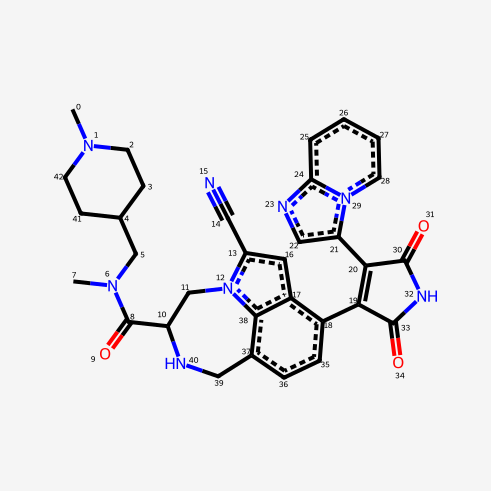 CN1CCC(CN(C)C(=O)C2Cn3c(C#N)cc4c(C5=C(c6cnc7ccccn67)C(=O)NC5=O)ccc(c43)CN2)CC1